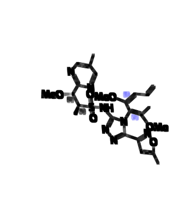 C=C/C=C(OC)\C(=C(/C)OC)n1c(NS(=O)(=O)[C@@H](C)[C@H](OC)c2ncc(C)cn2)nnc1-c1cc(C)on1